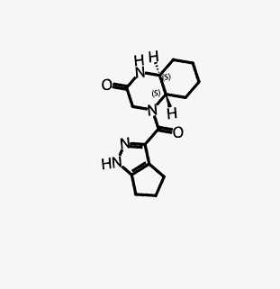 O=C1CN(C(=O)c2n[nH]c3c2CCC3)[C@H]2CCCC[C@@H]2N1